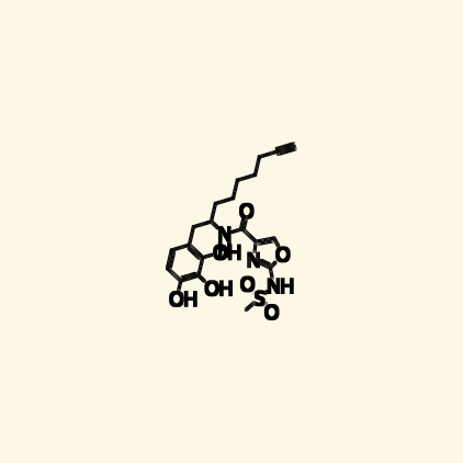 C#CCCCCCC(Cc1ccc(O)c(O)c1O)NC(=O)c1coc(NS(C)(=O)=O)n1